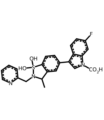 CC1c2cc(-c3cn(C(=O)O)c4cc(F)ccc34)ccc2S(O)(O)N1Cc1ccccn1